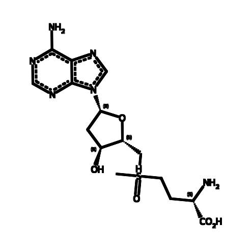 C[SH](=O)(CC[C@H](N)C(=O)O)C[C@H]1O[C@@H](n2cnc3c(N)ncnc32)C[C@@H]1O